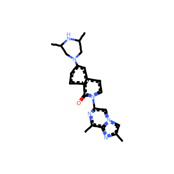 Cc1cn2cc(-n3ccc4cc(N5CC(C)NC(C)C5)ccc4c3=O)nc(C)c2n1